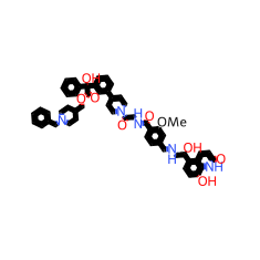 COc1cc(CNC[C@H](O)c2ccc(O)c3[nH]c(=O)ccc23)ccc1C(=O)NCC(=O)N1CC=C(c2cccc([C@](O)(C(=O)OCC3CCN(Cc4ccccc4)CC3)c3ccccc3)c2)CC1